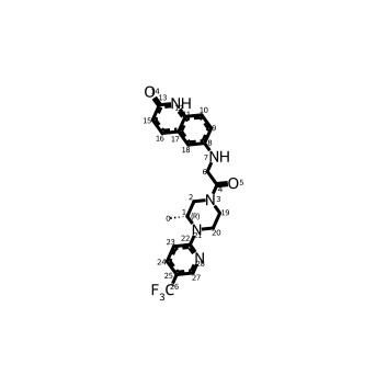 C[C@@H]1CN(C(=O)CNc2ccc3[nH]c(=O)ccc3c2)CCN1c1ccc(C(F)(F)F)cn1